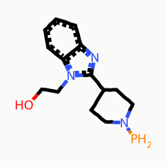 OCCn1c(C2CCN(P)CC2)nc2ccccc21